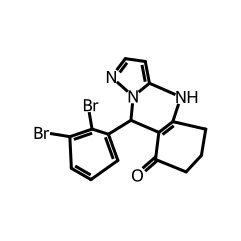 O=C1CCCC2=C1C(c1cccc(Br)c1Br)n1nccc1N2